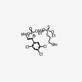 CCOP(=S)(OCC)SCSC(C)(C)C.COP(=O)(OC)O/C(=C\Cl)c1cc(Cl)c(Cl)cc1Cl